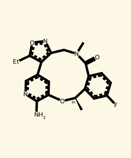 CCc1onc2c1-c1cnc(N)c(c1)O[C@H](C)c1cc(F)ccc1C(=O)N(C)C2